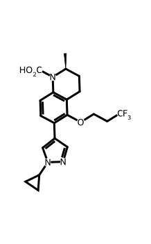 C[C@H]1CCc2c(ccc(-c3cnn(C4CC4)c3)c2OCCC(F)(F)F)N1C(=O)O